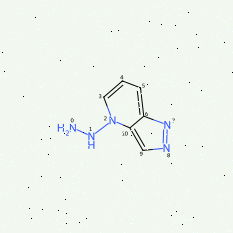 NNn1cccc2nncc1-2